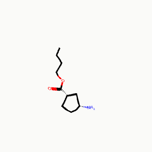 CCCCOC(=O)[C@H]1CC[C@@H](N)C1